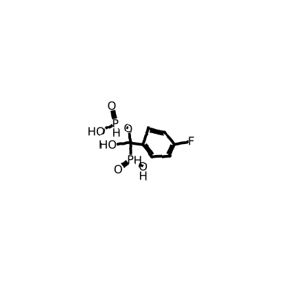 O=[PH](O)OC(O)(c1ccc(F)cc1)[PH](=O)O